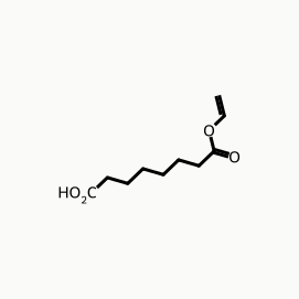 C=COC(=O)CCCCCCC(=O)O